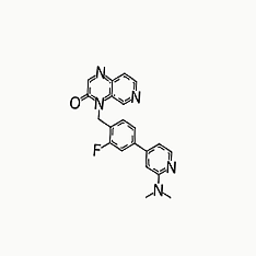 CN(C)c1cc(-c2ccc(Cn3c(=O)cnc4ccncc43)c(F)c2)ccn1